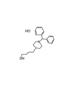 Cl.OCCCCC1CCN(C(c2ccccc2)c2ccccc2)CC1